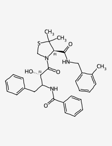 Cc1ccccc1CNC(=O)[C@H]1N(C(=O)[C@@H](O)C(Cc2ccccc2)NC(=O)c2ccccc2)CSC1(C)C